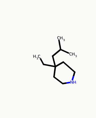 CCC1(CC(C)C)CCNCC1